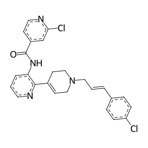 O=C(Nc1cccnc1C1=CCN(C/C=C/c2ccc(Cl)cc2)CC1)c1ccnc(Cl)c1